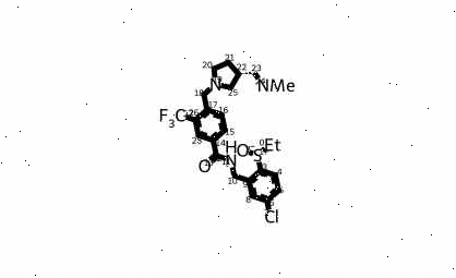 CC[S+]([O-])c1ccc(Cl)cc1CNC(=O)c1ccc(CN2CC[C@H](CNC)C2)c(C(F)(F)F)c1